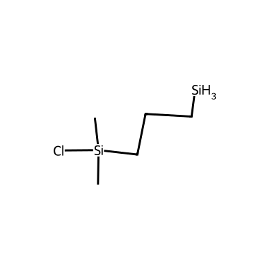 C[Si](C)(Cl)CCC[SiH3]